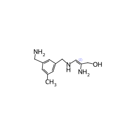 Cc1cc(CN)cc(CN/C=C(\N)CO)c1